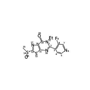 CCn1c(-c2ccncc2F)nc2sc([S+](C)[O-])nc2c1=O